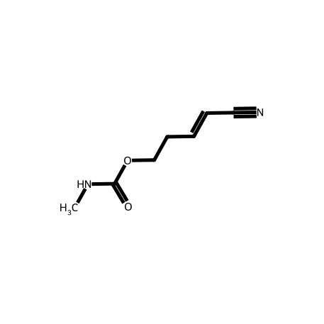 CNC(=O)OCCC=CC#N